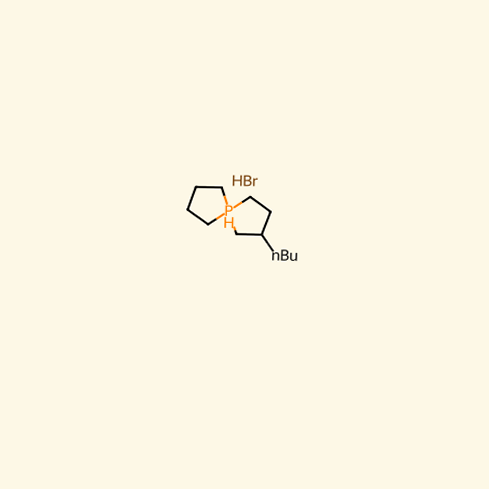 Br.CCCCC1CC[PH]2(CCCC2)C1